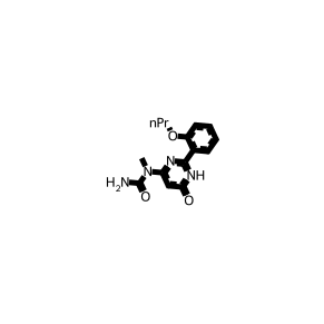 CCCOc1ccccc1-c1nc(N(C)C(N)=O)cc(=O)[nH]1